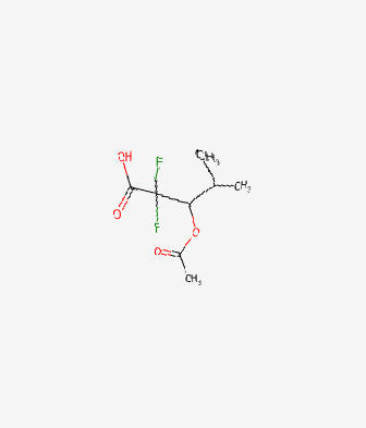 CC(=O)OC(C(C)C)C(F)(F)C(=O)O